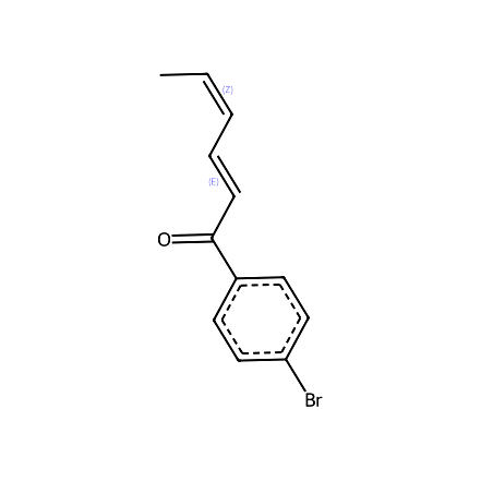 C/C=C\C=C\C(=O)c1ccc(Br)cc1